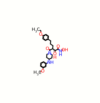 CCOc1ccc(CCCC(C(=O)N2CCC(Nc3cccc(OC)c3)CC2)[C@H](O)C(=O)NO)cc1